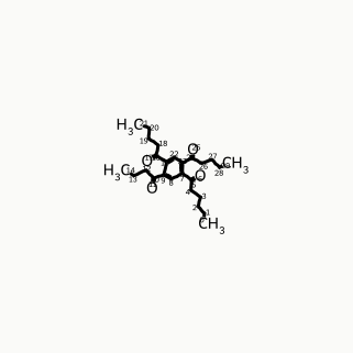 CCCCCC(=O)c1cc(C(=O)CCC)c(C(=O)CCCC)cc1C(=O)CCCC